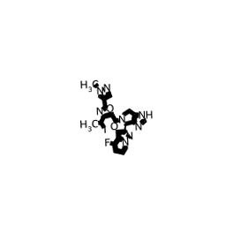 CC(I)c1nc(-c2cnn(C)c2)oc1C(=O)N1CCc2[nH]cnc2[C@H]1c1cc2c(F)cccn2n1